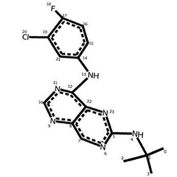 CC(C)(C)Nc1ncc2ncnc(Nc3ccc(F)c(Cl)c3)c2n1